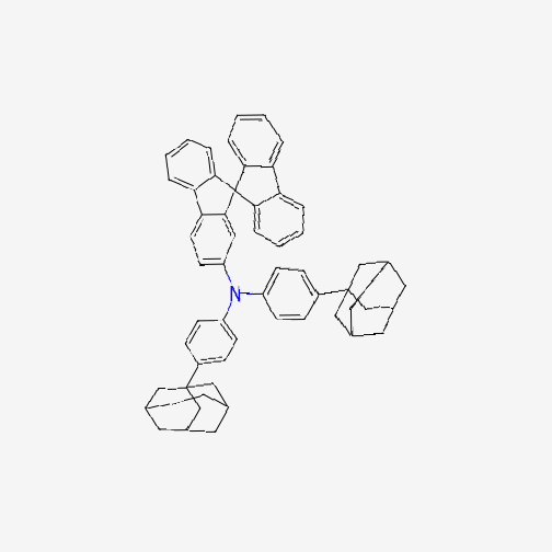 c1ccc2c(c1)-c1ccccc1C21c2ccccc2-c2ccc(N(c3ccc(C45CC6CC(CC(C6)C4)C5)cc3)c3ccc(C45CC6CC(CC(C6)C4)C5)cc3)cc21